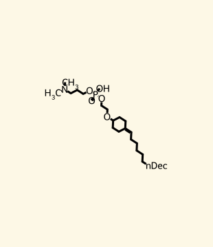 CCCCCCCCCCCCCCCC=C1CCC(OCCOP(=O)(O)OCCCN(C)C)CC1